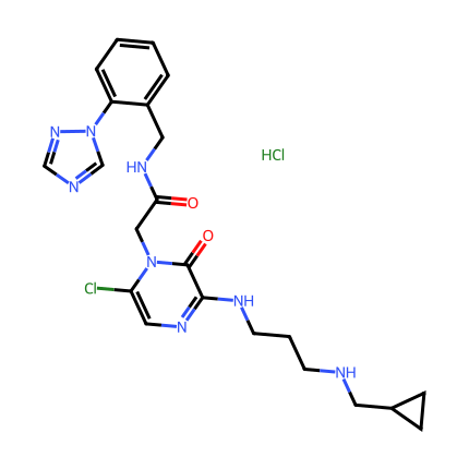 Cl.O=C(Cn1c(Cl)cnc(NCCCNCC2CC2)c1=O)NCc1ccccc1-n1cncn1